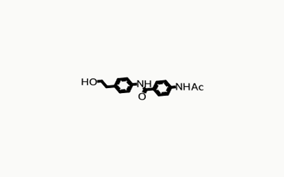 CC(=O)Nc1ccc(C(=O)Nc2ccc(CCO)cc2)cc1